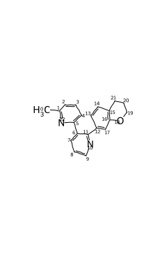 Cc1cccc(-c2cccnc2-c2ccc3c(c2)OCCC3)n1